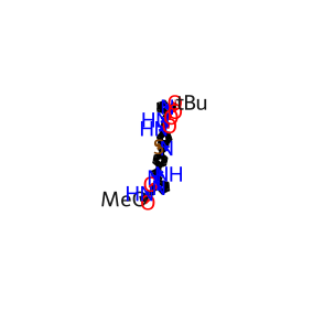 COC(=O)NCC(=O)N1CCC[C@H]1c1ncc(-c2ccc(-c3nc4ccc(NC(=O)NC(=O)[C@@H]5CCCN5C(=O)OC(C)(C)C)cc4s3)cc2)[nH]1